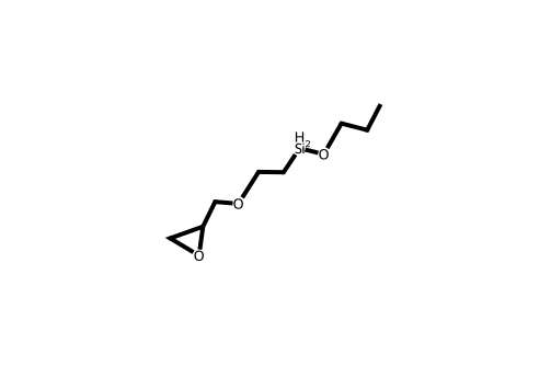 CCCO[SiH2]CCOCC1CO1